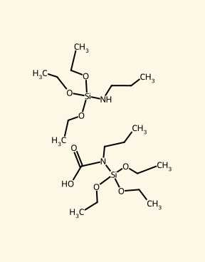 CCCN(C(=O)O)[Si](OCC)(OCC)OCC.CCCN[Si](OCC)(OCC)OCC